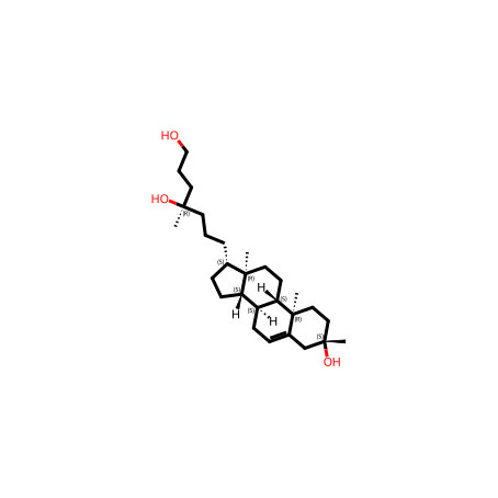 C[C@](O)(CCCO)CCC[C@H]1CC[C@H]2[C@@H]3CC=C4C[C@@](C)(O)CC[C@]4(C)[C@H]3CC[C@]12C